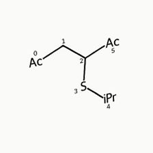 CC(=O)CC(SC(C)C)C(C)=O